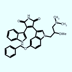 COC(CN(C)C)Cn1cc(C2=C(c3c[nH]c4ccccc34)C(=O)NC2=O)c2cc(OCc3ccccc3)ccc21